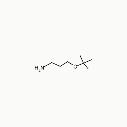 CC(C)(C)OCCCN